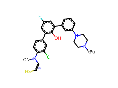 CC(C)(C)N1CCN(c2cccc(-c3cc(F)cc(-c4ccc(N(/C=C\S)N=O)c(Cl)c4)c3O)c2)CC1